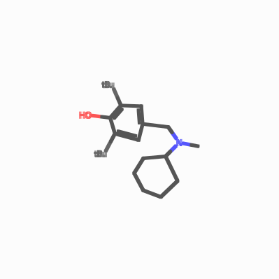 CN(Cc1cc(C(C)(C)C)c(O)c(C(C)(C)C)c1)C1CCCCC1